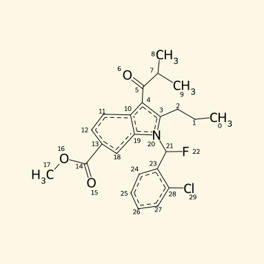 CCCc1c(C(=O)C(C)C)c2ccc(C(=O)OC)cc2n1C(F)c1ccccc1Cl